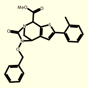 COC(=O)C1c2sc(-c3ccccc3C)cc2C2CN1C(=O)N2OCc1ccccc1